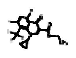 CCOC(=O)c1cn(C2CC2)c2c(C(F)(F)F)c(F)cc(F)c2c1=O